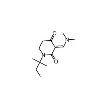 CCC(C)(C)N1CCC(=O)/C(=C\N(C)C)C1=O